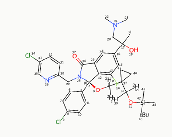 [2H]C([2H])(O[C@]1(c2ccc(Cl)cc2)c2c(F)cc(C(C)(O)CN(C)C)cc2C(=O)N1Cc1ccc(Cl)cn1)C1(C([2H])([2H])O[Si](C)(C)C(C)(C)C)CC1